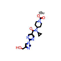 CC(C)(C)OC(=O)N1CCC(N(C(=O)c2cnc(-n3cnc(CO)c3)nc2)C2CC2)CC1